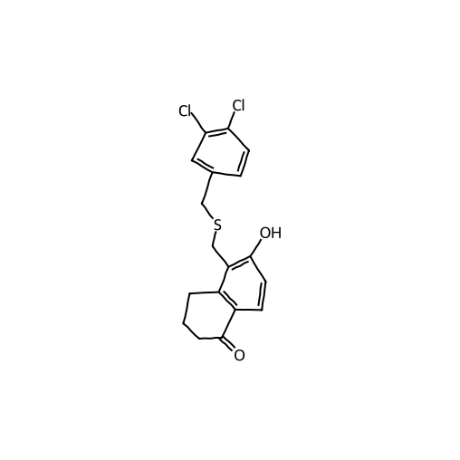 O=C1CCCc2c1ccc(O)c2CSCc1ccc(Cl)c(Cl)c1